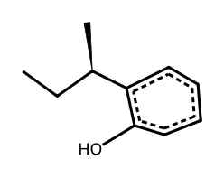 CC[C@@H](C)c1ccccc1O